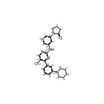 O=C1CCCN1c1cncc(Nc2ncc(Cl)c(-c3cccc(N4CCCCC4)c3)n2)c1